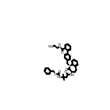 CC(C)(CC(=O)N[C@@H]1CCc2ccccc2N(Cc2ccc(-c3ccccc3C(=O)NCCO)cc2)C1=O)NC(=O)OCc1ccccc1